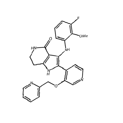 COc1c(F)cccc1Nc1c(-c2ccncc2OCc2ccccn2)[nH]c2c1C(=O)NCC2